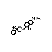 CC(=O)Nc1ccc2c(c1)CCC(CN1CCC(O)(c3ccccc3)CC1)C2=O